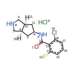 Cl.O=C(N[C@H]1C[C@H]2CNC[C@H]2C1)c1c(F)cccc1Cl